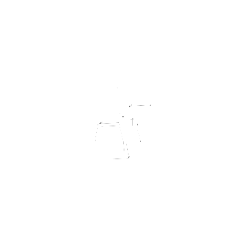 O=C1CN2Cc3ccc(c1c3)O2